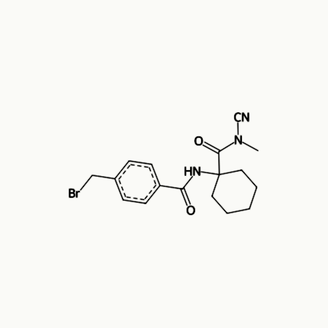 CN(C#N)C(=O)C1(NC(=O)c2ccc(CBr)cc2)CCCCC1